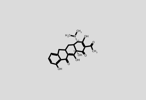 CC(=O)C1=C(O)[C@@H](N(C)C)C2CC3Cc4cccc(O)c4C(=O)C3=C(O)[C@]2(O)C1=O